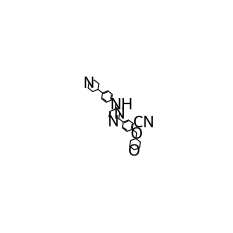 CN1CCC(c2ccc(Nc3ccnc(-c4ccc(OC5CCOCC5)c(C#N)c4)n3)cc2)CC1